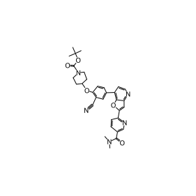 CN(C)C(=O)c1ccc(-c2cc3nccc(-c4ccc(OC5CCN(C(=O)OC(C)(C)C)CC5)c(C#N)c4)c3o2)nc1